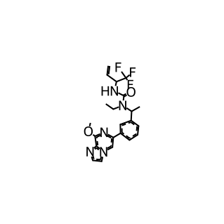 C=CC(NC(=O)N(CC)C(C)c1cccc(-c2cn3ccnc3c(OC)n2)c1)C(F)(F)F